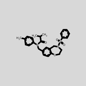 Cc1ccc(N(Cc2ccc3c(c2)CN(S(=O)(=O)c2ccccc2)CCO3)C(=O)C(C)C)cc1